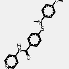 COc1ccc(N(C)Sc2ccc(C(=O)Nc3ccncc3)cc2)cc1